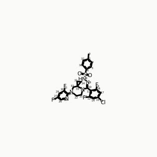 Cc1ccc(S(=O)(=O)N/N=C(/c2c(F)cc(Cl)cc2F)N2CCN(c3ncc(F)cc3F)CC23CC3)cc1